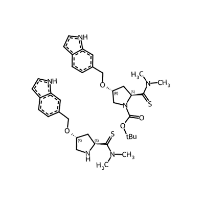 CN(C)C(=S)[C@@H]1C[C@@H](OCc2ccc3cc[nH]c3c2)CN1.CN(C)C(=S)[C@@H]1C[C@@H](OCc2ccc3cc[nH]c3c2)CN1C(=O)OC(C)(C)C